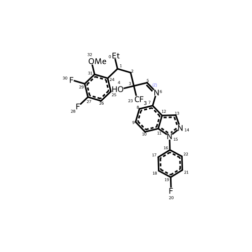 CCC(CC(O)(/C=N\c1cccc2c1cnn2-c1ccc(F)cc1)C(F)(F)F)c1ccc(F)c(F)c1OC